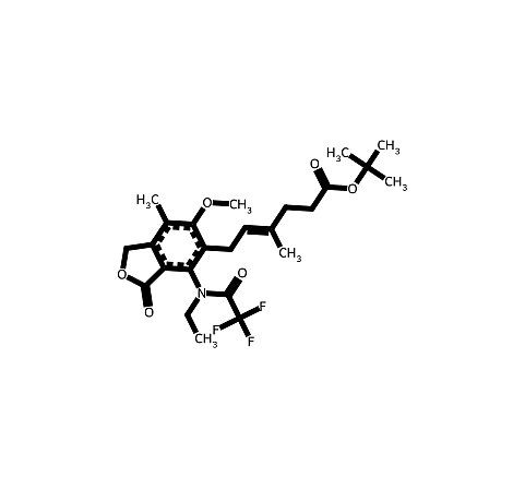 CCN(C(=O)C(F)(F)F)c1c(C/C=C(\C)CCC(=O)OC(C)(C)C)c(OC)c(C)c2c1C(=O)OC2